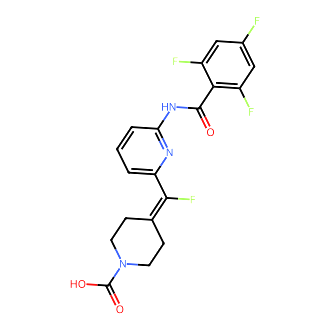 O=C(Nc1cccc(C(F)=C2CCN(C(=O)O)CC2)n1)c1c(F)cc(F)cc1F